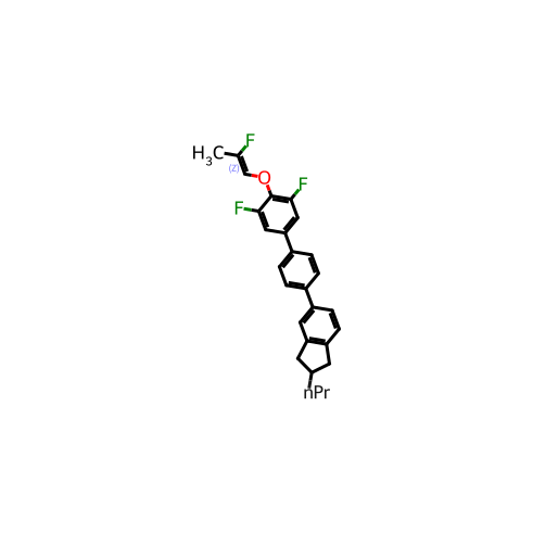 CCCC1Cc2ccc(-c3ccc(-c4cc(F)c(O/C=C(/C)F)c(F)c4)cc3)cc2C1